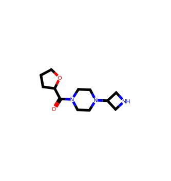 O=C(C1CCCO1)N1CCN(C2CNC2)CC1